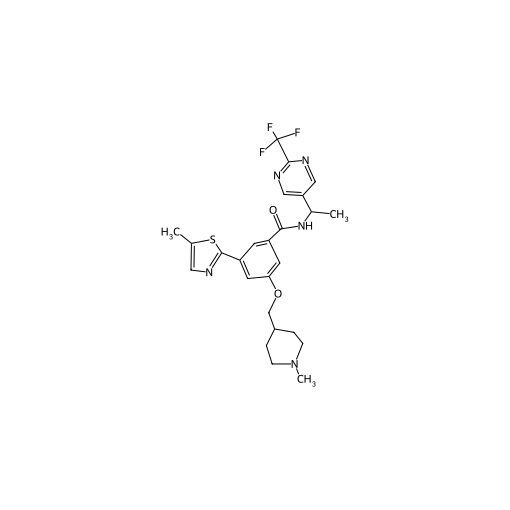 Cc1cnc(-c2cc(OCC3CCN(C)CC3)cc(C(=O)NC(C)c3cnc(C(F)(F)F)nc3)c2)s1